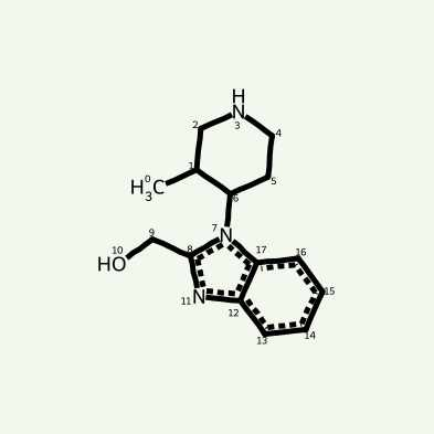 CC1CNCCC1n1c(CO)nc2ccccc21